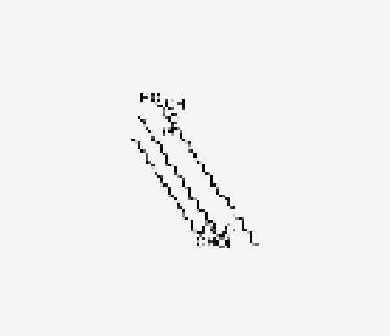 CCCCCCCCC=CCCCCCCCC(=O)O.CCCCCCCCCCCCCCCCCCCCCC(=O)O.CCCCCCCCCCCCCCCCCCCCCC(=O)OCC(O)CO